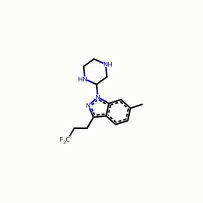 Cc1ccc2c(CCC(F)(F)F)nn(C3CNCCN3)c2c1